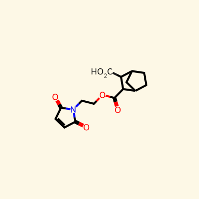 O=C(O)C1C2CCC(C2)C1C(=O)OCCN1C(=O)C=CC1=O